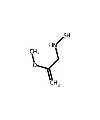 C=C(CNS)OC